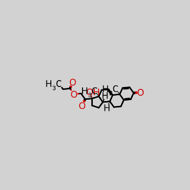 CCC(=O)OCC(=O)[C@@]1(O)CC[C@H]2[C@@H]3CCC4=CC(=O)C=C[C@]4(C)C3=CC[C@@]21C